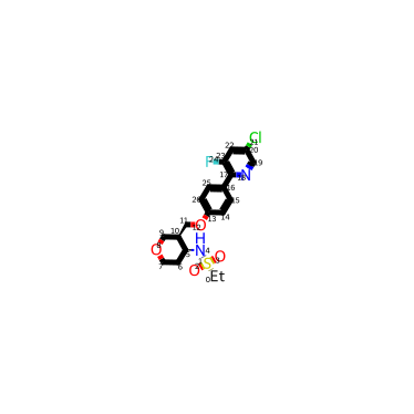 CCS(=O)(=O)N[C@@H]1CCOC[C@H]1COc1ccc(-c2ncc(Cl)cc2F)cc1